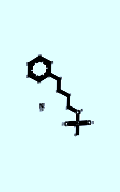 CS(=O)(=O)OCCCCc1ccccc1.[N]